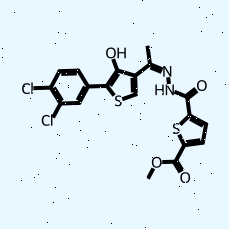 COC(=O)c1ccc(C(=O)N/N=C(/C)c2csc(-c3ccc(Cl)c(Cl)c3)c2O)s1